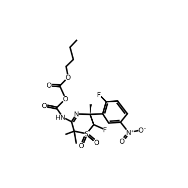 CCCCOC(=O)OC(=O)NC1=N[C@](C)(c2cc([N+](=O)[O-])ccc2F)C(F)S(=O)(=O)C1(C)C